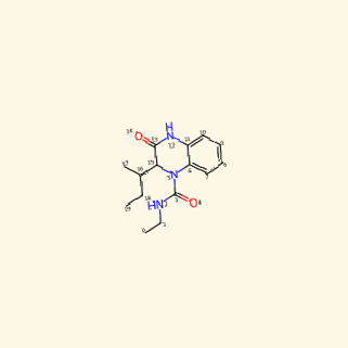 CCNC(=O)N1c2ccccc2NC(=O)C1C(C)CC